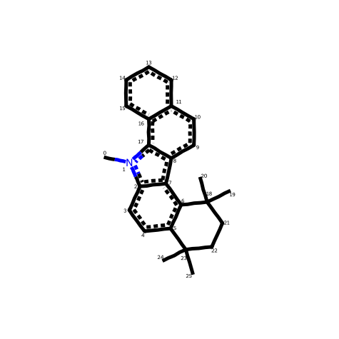 Cn1c2ccc3c(c2c2ccc4ccccc4c21)C(C)(C)CCC3(C)C